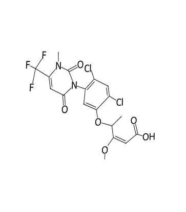 CO/C(=C/C(=O)O)C(C)Oc1cc(-n2c(=O)cc(C(F)(F)F)n(C)c2=O)c(Cl)cc1Cl